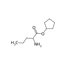 CCCC(N)C(=O)OC1CCCC1